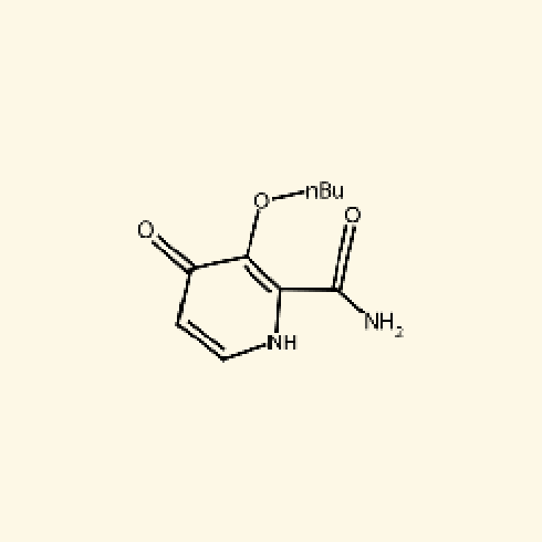 CCCCOc1c(C(N)=O)[nH]ccc1=O